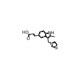 Cc1[nH]c2ccc(/C=C/C(=O)O)cc2c1Cn1ccnc1